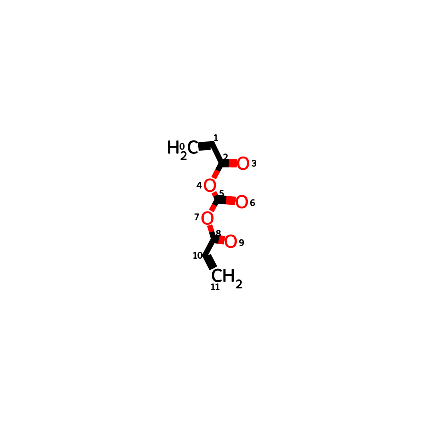 C=CC(=O)OC(=O)OC(=O)C=C